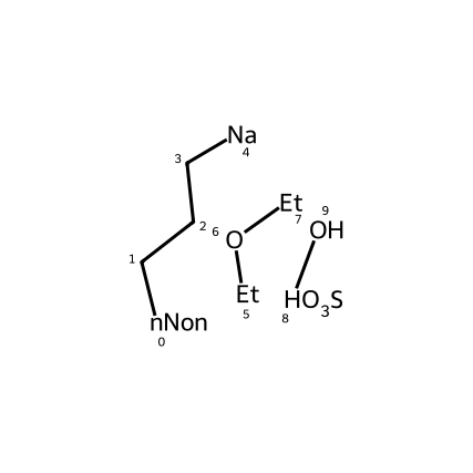 CCCCCCCCCCC[CH2][Na].CCOCC.O=S(=O)(O)O